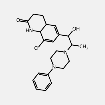 CC(C(O)C1=CC2CCC(=O)NC2C(Cl)=C1)N1CCN(c2ccccc2)CC1